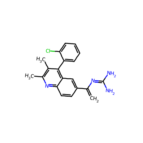 C=C(N=C(N)N)c1ccc2nc(C)c(C)c(-c3ccccc3Cl)c2c1